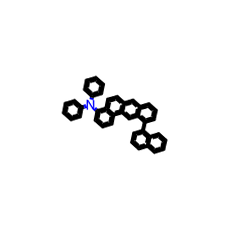 c1ccc(N(c2ccccc2)c2cccc3c2ccc2cc4cccc(-c5cccc6ccccc56)c4cc23)cc1